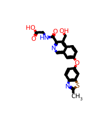 Cc1nc2ccc(Oc3ccc4c(CO)c(C(=O)NCC(=O)O)ncc4c3)cc2s1